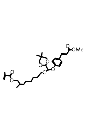 C=C(C)C(=O)OCC(C)CCCCCCCC(Oc1ccc(/C=C/C(=O)OC)cc1)C1OCC(C)(C)CO1